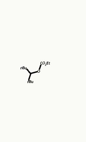 C[CH]OC(=O)OC(CCCC)CCCC